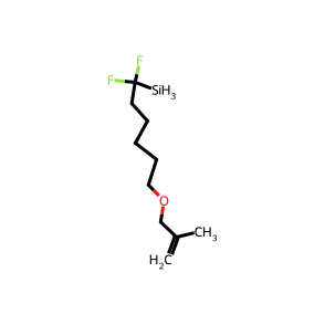 C=C(C)COCCCCCC(F)(F)[SiH3]